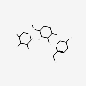 CCNC1C[C@H](N)C(O[C@H]2OC(CN)=CCC2N)C(O)[C@H]1O[C@H]1OC[C@](C)(O)C(NC)C1O